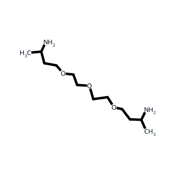 CC(N)CCOCCOCCOCCC(C)N